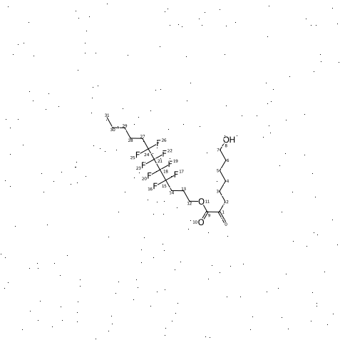 C=C(CCCCCCO)C(=O)OCCCC(F)(F)C(F)(F)C(F)(F)C(F)(F)CCCCC